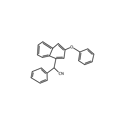 N#CC(c1ccccc1)c1cc(Oc2ccccc2)cc2ccccc12